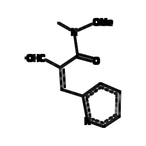 CON(C)C(=O)C([C]=O)=Cc1ccccn1